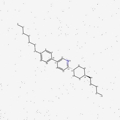 CCCCCCCc1ccc(-c2ccc([C@H]3CC[C@H](CCCCC)CC3)nc2)cc1